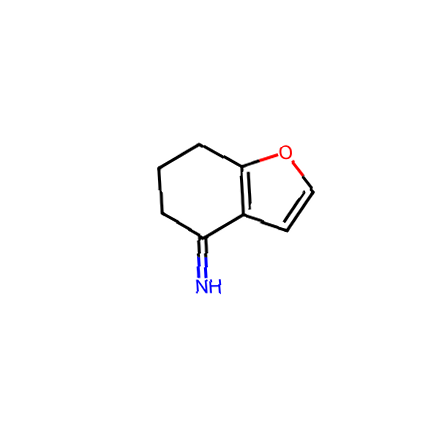 N=C1CCCc2occc21